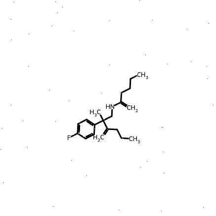 C=C(CCCC)NCC(C)(C(=C)CCC)c1ccc(F)cc1